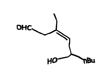 CCCCC(O)C=C(C)CC=O